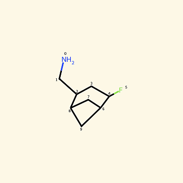 NCC1CC(F)C2CC1C2